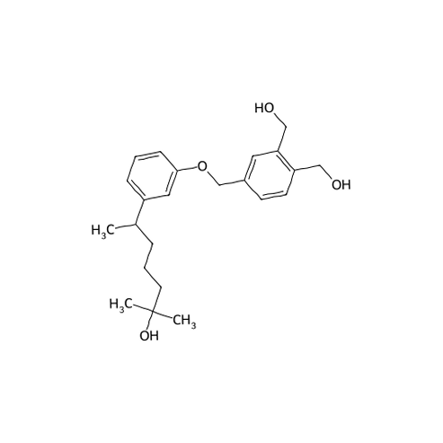 CC(CCCC(C)(C)O)c1cccc(OCc2ccc(CO)c(CO)c2)c1